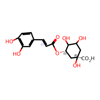 O=C(/C=C/c1ccc(O)c(O)c1)O[C@H]1C[C@@](O)(C(=O)O)CC(O)C1O